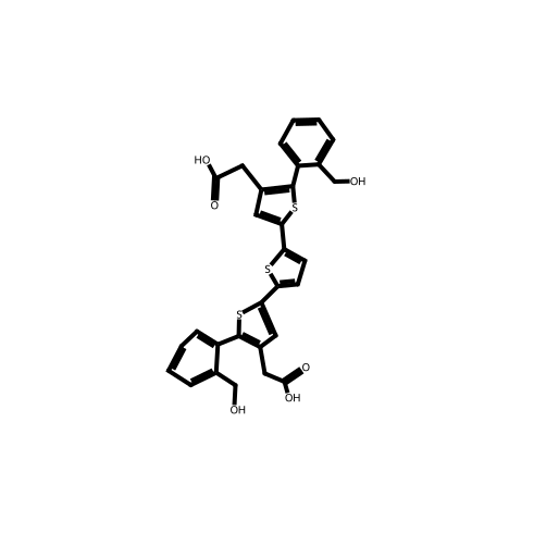 O=C(O)Cc1cc(-c2ccc(-c3cc(CC(=O)O)c(-c4ccccc4CO)s3)s2)sc1-c1ccccc1CO